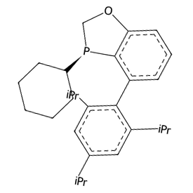 CC(C)c1cc(C(C)C)c(-c2cccc3c2[P@@](C2CCCCC2)CO3)c(C(C)C)c1